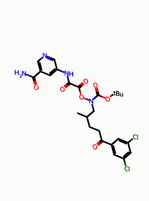 CC(CCC(=O)c1cc(Cl)cc(Cl)c1)CN(OC(=O)C(=O)Nc1cncc(C(N)=O)c1)C(=O)OC(C)(C)C